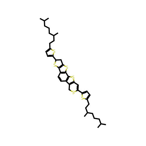 CC(C)CCCC(C)CCc1ccc(C2=Cc3sc4c(ccc5c6c(sc54)CC(c4ccc(CCC(C)CCCC(C)C)s4)S6)c3CS2)s1